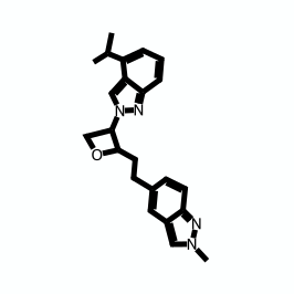 CC(C)c1cccc2nn(C3COC3CCc3ccc4nn(C)cc4c3)cc12